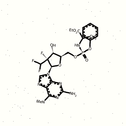 CCOC(=O)C(C)N[P@@](=O)(OC[C@H]1O[C@@H](n2cnc3c(NC)nc(N)nc32)[C@@](F)(C(F)F)[C@@H]1O)Oc1ccccc1